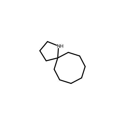 C1CCCC2(CCC1)CCCN2